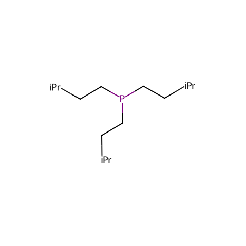 CC(C)CCP(CCC(C)C)CCC(C)C